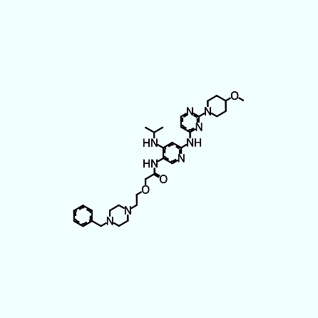 COC1CCN(c2nccc(Nc3cc(NC(C)C)c(NC(=O)COCCN4CCN(Cc5ccccc5)CC4)cn3)n2)CC1